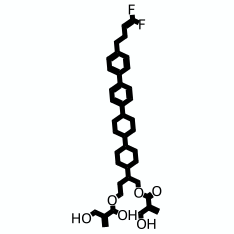 C=C(CO)C(=O)OCC(CCOC(O)C(=C)CO)C1CCC(C2CCC(c3ccc(-c4ccc(CCC=C(F)F)cc4)cc3)CC2)CC1